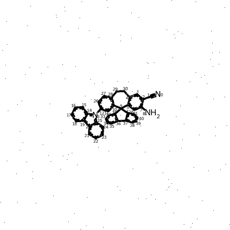 N#Cc1cc2c(cc1N)C1(c3cc(-n4c5ccccc5c5ccccc54)ccc3CC2)c2ccccc2-c2ccccc21